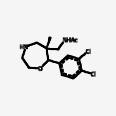 CC(=O)NC[C@@]1(C)CNCCOC1c1ccc(Cl)c(Cl)c1